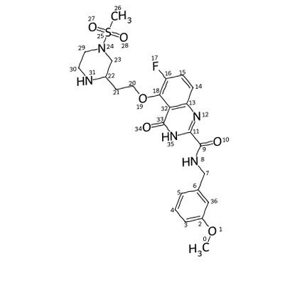 COc1cccc(CNC(=O)c2nc3ccc(F)c(OCCC4CN(S(C)(=O)=O)CCN4)c3c(=O)[nH]2)c1